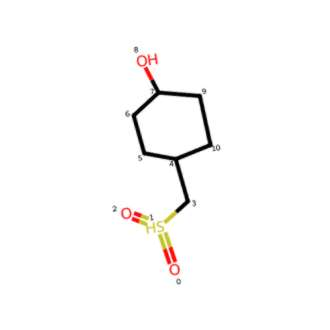 O=[SH](=O)CC1CCC(O)CC1